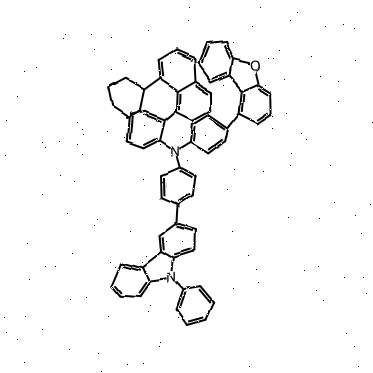 C1=c2cccc(C3CCCCC3)c2=C(c2ccccc2N(c2ccc(-c3ccc4c(c3)c3ccccc3n4-c3ccccc3)cc2)c2ccc(-c3cccc4oc5ccccc5c34)cc2)CC1